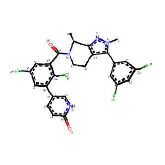 C[C@H]1c2nn(C)c(-c3cc(F)cc(F)c3)c2CCN1C(=O)c1cc(F)cc(-c2ccc(=O)[nH]c2)c1Cl